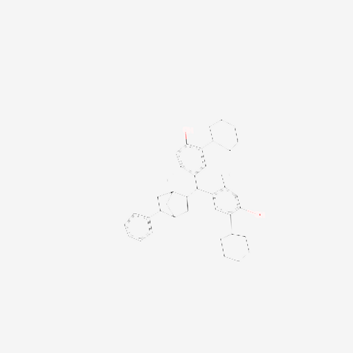 Cc1cc(O)c(C2CCCCC2)cc1C(c1cc(C2CCCCC2)c(O)cc1C)C1CC2CC1CC2c1ccccc1